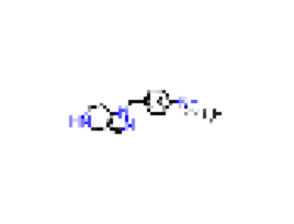 O=C(O)NC12CCC(Cn3ncc4c3CCNC4)(CC1)CC2